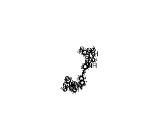 COC(=O)N[C@H](C(=O)N1[C@@H](C)CC[C@H]1c1nc2ccc(C#Cc3ccc4c(ccc5nc([C@@H]6CC[C@H](C)N6C(=O)[C@@H](NC(=O)OC)C6CCOCC6)[nH]c54)c3)cc2[nH]1)C1CCC(F)(F)CC1